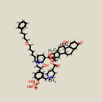 C[C@]12C=CC(=O)C=C1CCC1C2[C@@H](O)C[C@@]2(C)C1C[C@H]1O[C@@H](C3CCCCC3)O[C@]12C(=O)COC(=O)C1CC[N+](C)(Cc2cc(C(O)CNCCCCCCOCCCCc3ccccc3)ccc2OP(=O)(O)O)CC1